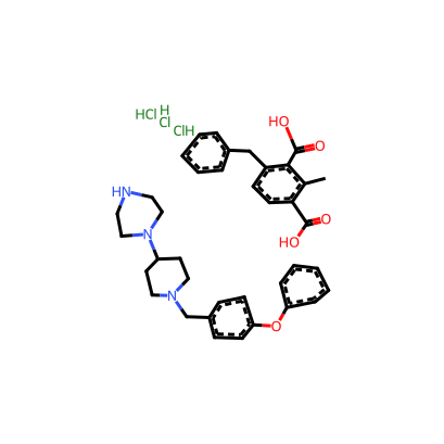 Cc1c(C(=O)O)ccc(Cc2ccccc2)c1C(=O)O.Cl.Cl.Cl.c1ccc(Oc2ccc(CN3CCC(N4CCNCC4)CC3)cc2)cc1